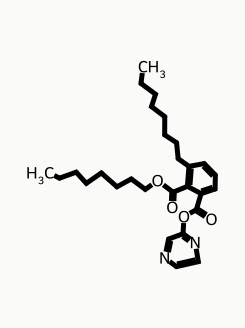 CCCCCCCCOC(=O)c1c(CCCCCCCC)cccc1C(=O)Oc1cnccn1